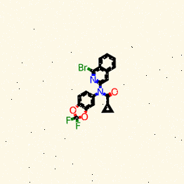 O=C(C1CC1)N(c1ccc2c(c1)OC(F)(F)O2)c1cc2ccccc2c(Br)n1